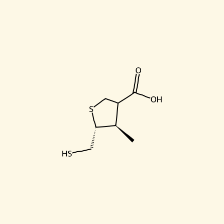 C[C@@H]1C(C(=O)O)CS[C@H]1CS